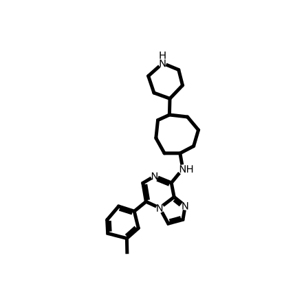 Cc1cccc(-c2cnc(NC3CCCC(C4CCNCC4)CCC3)c3nccn23)c1